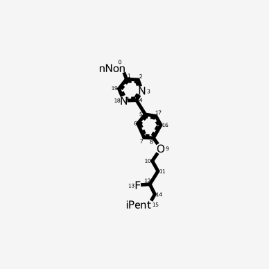 CCCCCCCCCc1cnc(-c2ccc(OCCC(F)CC(C)CCC)cc2)nc1